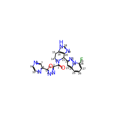 O=C(c1nnc(-c2cnccn2)o1)N1CCc2[nH]cnc2C1c1cc2cccc(F)n2n1